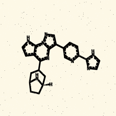 c1c[nH]c(-c2ccc(-c3cnn4c3nc(C3CC5CC[C@H](C3)N5)c3cc[nH]c34)cn2)n1